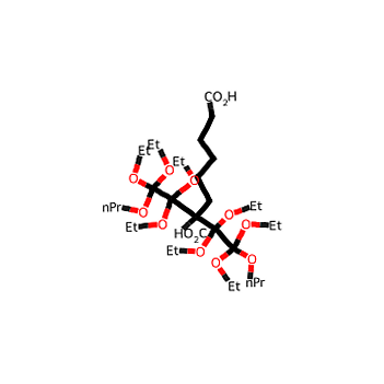 CCCOC(OCC)(OCC)C(OCC)(OCC)C(CCCCCC(=O)O)(C(=O)O)C(OCC)(OCC)C(OCC)(OCC)OCCC